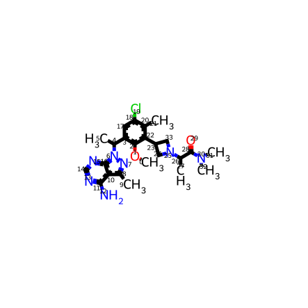 COc1c(C(C)n2nc(C)c3c(N)ncnc32)cc(Cl)c(C)c1C1CN(C(C)C(=O)N(C)C)C1